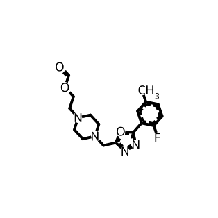 Cc1ccc(F)c(-c2nnc(CN3CCN(CCOC=O)CC3)o2)c1